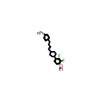 CCCc1ccc(CC/C=C/C2CCC(c3ccc(OCC)c(F)c3F)CC2)cc1